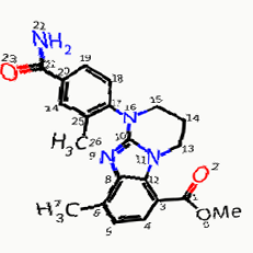 COC(=O)c1ccc(C)c2nc3n(c12)CCCN3c1ccc(C(N)=O)cc1C